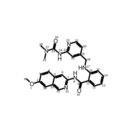 COc1ccc2cc(NC(=O)c3ccccc3NCc3ccnc(NC(=O)N(C)C)c3)ncc2c1